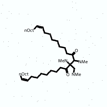 CCCCCCCC/C=C\CCCCCCCC(=O)C(NC)C(CNC)(NC)C(=O)CCCCCCC/C=C\CCCCCCCC